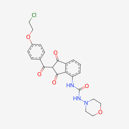 O=C(Nc1cccc2c1C(=O)C(C(=O)c1ccc(OCCCl)cc1)C2=O)NN1CCOCC1